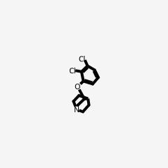 Clc1cccc(OC2CN3CCC2CC3)c1Cl